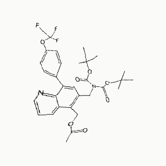 CC(=O)OCc1c(CN(C(=O)OC(C)(C)C)C(=O)OC(C)(C)C)cc(-c2ccc(OC(F)(F)F)cc2)c2ncccc12